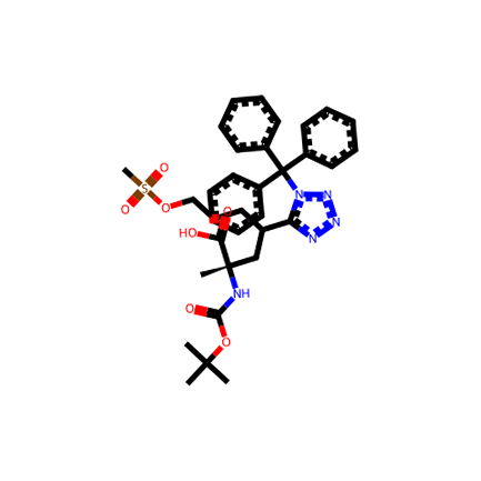 CC(C)(C)OC(=O)N[C@@](C)(CC(CCCOS(C)(=O)=O)c1nnnn1C(c1ccccc1)(c1ccccc1)c1ccccc1)C(=O)O